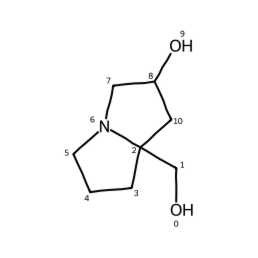 OCC12CCCN1CC(O)C2